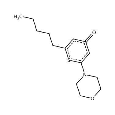 CCCCCc1cc(=O)cc(N2CCOCC2)s1